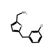 NCc1ccc(Cc2cccc(Cl)c2)s1